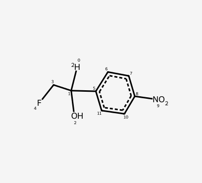 [2H]C(O)(CF)c1ccc([N+](=O)[O-])cc1